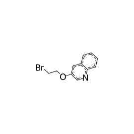 BrCCOc1cnc2ccccc2c1